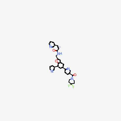 O=C(/C=C\c1cccnc1)NCc1cc2cc(-c3ccc(C(=O)N4CCC(F)(F)CC4)cn3)cc(-c3cccnc3)c2o1